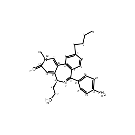 CCCCc1ccc2c(c1)-c1cn(C)c(=O)cc1[C@H](CCO)N=C2c1ccc(P)cc1